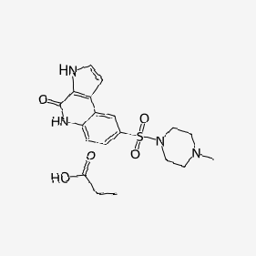 CCC(=O)O.CN1CCN(S(=O)(=O)c2ccc3[nH]c(=O)c4[nH]ccc4c3c2)CC1